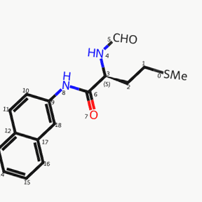 CSCC[C@H](NC=O)C(=O)Nc1ccc2ccccc2c1